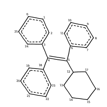 c1ccc(C(=C(c2ccccc2)C2CCCCC2)c2ccccc2)cc1